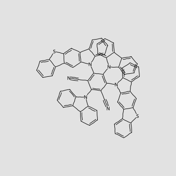 N#Cc1c(-n2c3ccccc3c3ccccc32)c(C#N)c(-n2c3ccccc3c3cc4sc5ccccc5c4cc32)c(-n2c3ccccc3c3ccccc32)c1-n1c2ccccc2c2cc3sc4ccccc4c3cc21